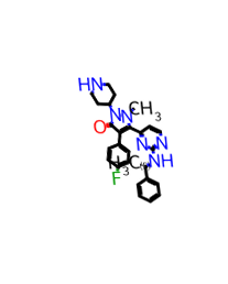 C[C@H](Nc1nccc(-c2c(-c3ccc(F)cc3)c(=O)n(C3CCNCC3)n2C)n1)c1ccccc1